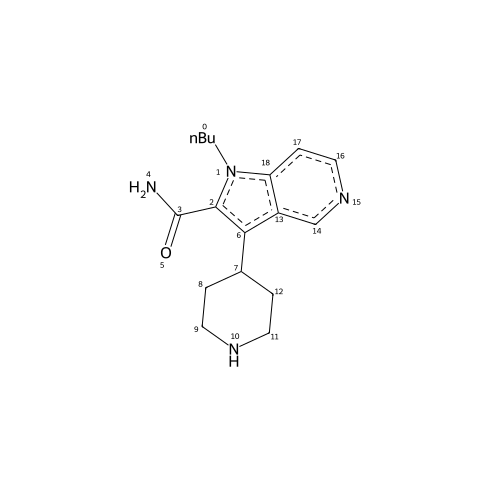 CCCCn1c(C(N)=O)c(C2CCNCC2)c2cnccc21